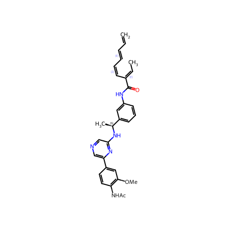 C=C/C=C/C=C\C(=C/C)C(=O)Nc1cccc([C@H](C)Nc2cncc(-c3ccc(NC(C)=O)c(OC)c3)n2)c1